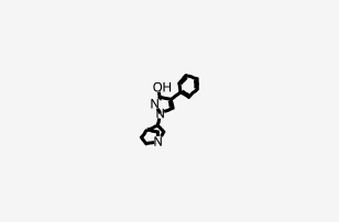 Oc1nn(C2CN3CCC2C3)cc1-c1ccccc1